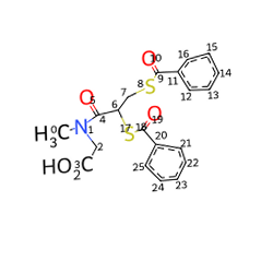 CN(CC(=O)O)C(=O)C(CSC(=O)c1ccccc1)SC(=O)c1ccccc1